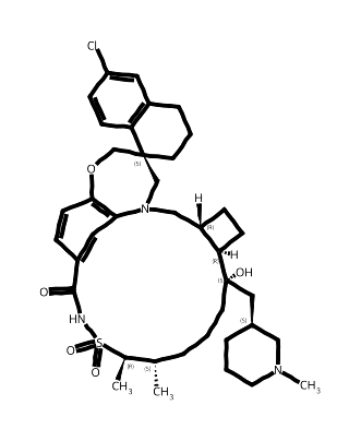 C[C@@H]1[C@@H](C)CCC[C@](O)(C[C@@H]2CCCN(C)C2)[C@@H]2CC[C@H]2CN2C[C@@]3(CCCc4cc(Cl)ccc43)COc3ccc(cc32)C(=O)NS1(=O)=O